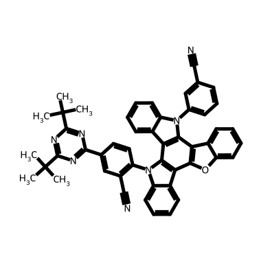 CC(C)(C)c1nc(-c2ccc(-n3c4ccccc4c4c5oc6ccccc6c5c5c(c6ccccc6n5-c5cccc(C#N)c5)c43)c(C#N)c2)nc(C(C)(C)C)n1